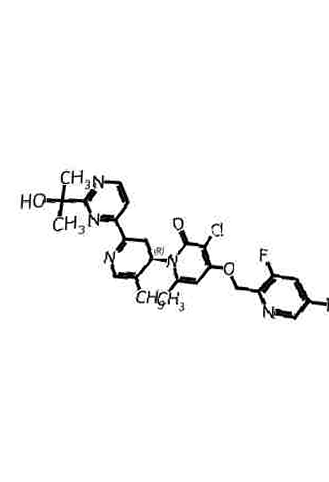 CC1=CN=C(c2ccnc(C(C)(C)O)n2)C[C@H]1n1c(C)cc(OCc2ncc(F)cc2F)c(Cl)c1=O